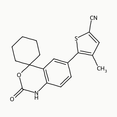 Cc1cc(C#N)sc1-c1ccc2c(c1)C1(CCCCC1)OC(=O)N2